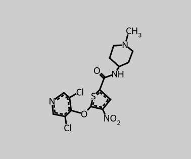 CN1CCC(NC(=O)c2cc([N+](=O)[O-])c(Oc3c(Cl)cncc3Cl)s2)CC1